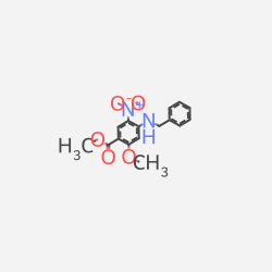 COC(=O)c1cc([N+](=O)[O-])c(NCc2ccccc2)cc1OC